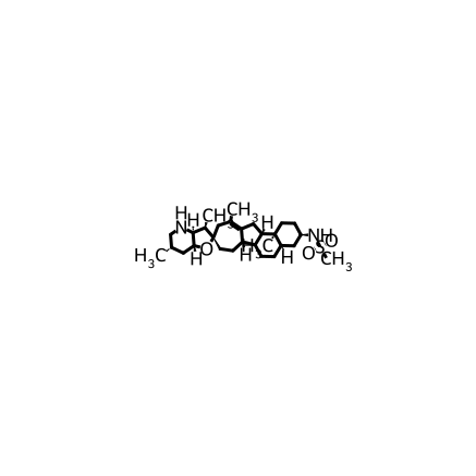 CC1=C2C[C@H]3C(CC[C@@H]4C[C@H](NS(C)(=O)=O)CC[C@@]43C)[C@@H]2CC[C@@]2(C1)O[C@@H]1C[C@H](C)CN[C@H]1[C@H]2C